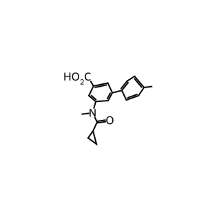 Cc1ccc(-c2cc(C(=O)O)cc(N(C)C(=O)C3CC3)c2)cc1